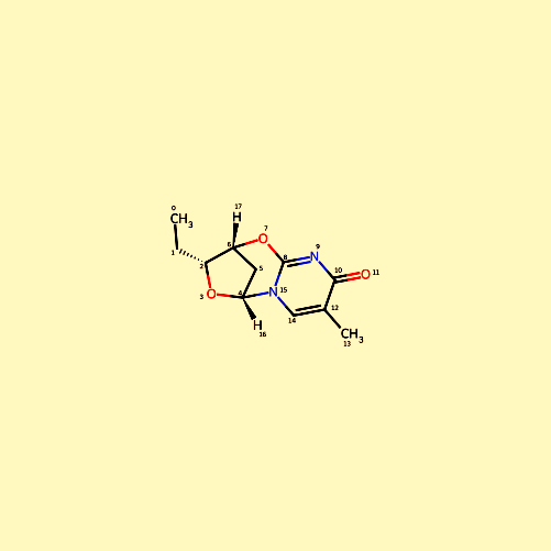 CC[C@H]1O[C@@H]2C[C@H]1Oc1nc(=O)c(C)cn12